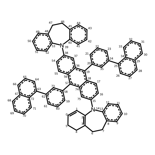 C1=CC2=C(CC1)CCc1ccccc1N2c1ccc2c(-c3cccc(-c4cccc5ccccc45)c3)c3cc(N4c5ccccc5CCc5ccccc54)ccc3c(-c3cccc(-c4cccc5ccccc45)c3)c2c1